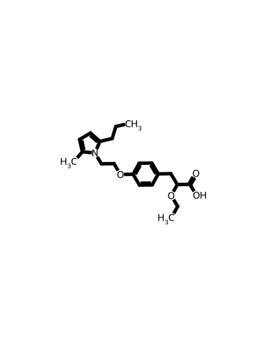 CCCc1ccc(C)n1CCOc1ccc(CC(OCC)C(=O)O)cc1